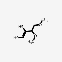 COCC(OC)C(S)=CS